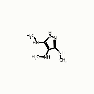 CNC1=NBC(NC)=C1NC